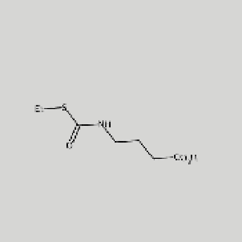 CCSC(=O)NCCCC(=O)O